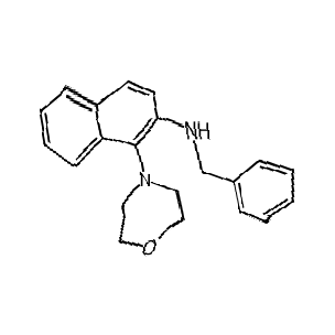 c1ccc(CNc2ccc3ccccc3c2N2CCOCC2)cc1